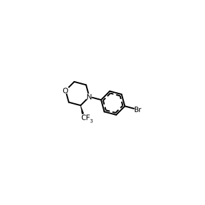 FC(F)(F)[C@H]1COCCN1c1ccc(Br)cc1